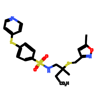 Cc1cc(CSC(C)(CNS(=O)(=O)c2ccc(Sc3ccncc3)cc2)CC(=O)O)no1